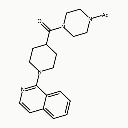 CC(=O)N1CCN(C(=O)C2CCN(c3nccc4ccccc34)CC2)CC1